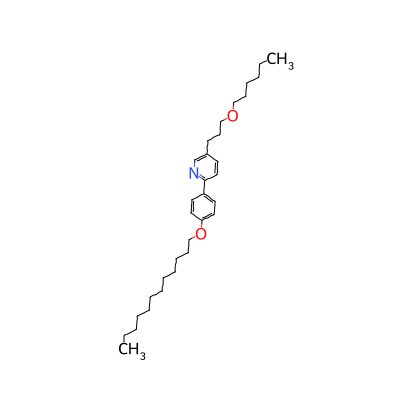 CCCCCCCCCCCCOc1ccc(-c2ccc(CCCOCCCCCC)cn2)cc1